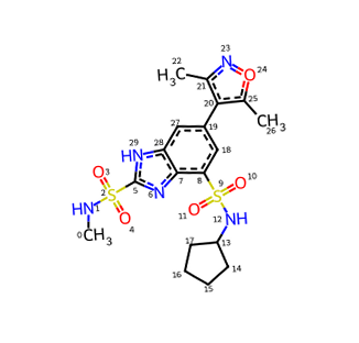 CNS(=O)(=O)c1nc2c(S(=O)(=O)NC3CCCC3)cc(-c3c(C)noc3C)cc2[nH]1